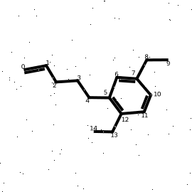 C=CCCCc1cc(CC)ccc1CC